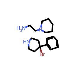 BrC1(c2ccccc2)CCNCC1.NCCN1CCCCC1